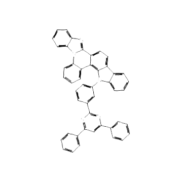 c1ccc(-c2cc(-c3ccccc3)nc(-c3cccc(-n4c5ccccc5c5ccc6c(c7ccccc7n7c8ccccc8nc67)c54)c3)n2)cc1